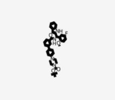 COc1ccc(F)cc1[C@@H](NC(=O)c1cccc(-c2ccc(N3CCN(C(=O)OC(C)(C)C)CC3)cc2)c1)c1cc2ccccc2[nH]1